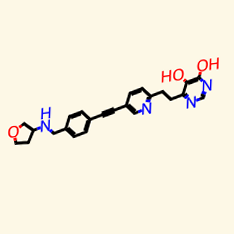 Oc1ncnc(CCc2ccc(C#Cc3ccc(CNC4CCOC4)cc3)cn2)c1O